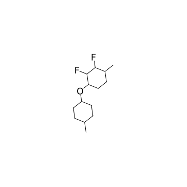 CC1CCC(OC2CCC(C)C(F)C2F)CC1